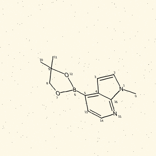 Cn1ccc2c(B3OCC(C)(C)O3)ccnc21